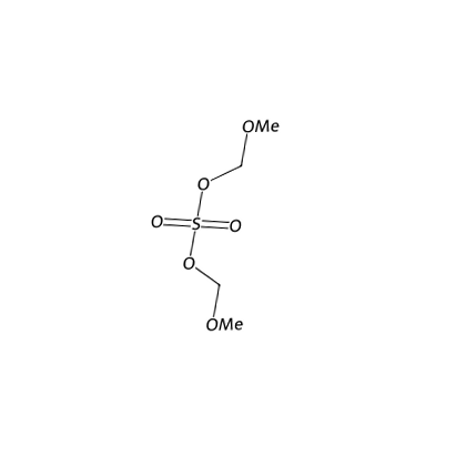 COCOS(=O)(=O)OCOC